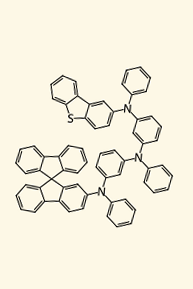 c1ccc(N(c2cccc(N(c3ccccc3)c3ccc4c(c3)C3(c5ccccc5-c5ccccc53)c3ccccc3-4)c2)c2cccc(N(c3ccccc3)c3ccc4sc5ccccc5c4c3)c2)cc1